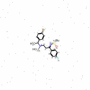 C[C@@H](c1ccc(Br)cc1)N(CCC(=N[S@@+]([O-])C(C)(C)C)c1ccc(F)cc1)C(=O)O